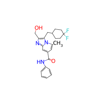 Cc1cc(C(=O)Nc2ccccc2)cc2nc(CO)c(CC3CCC(F)(F)CC3)n12